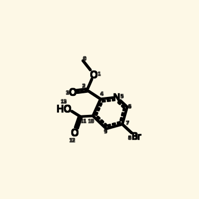 COC(=O)c1ncc(Br)cc1C(=O)O